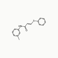 Cc1cccc(NC(=O)C=CSc2ccccc2)c1